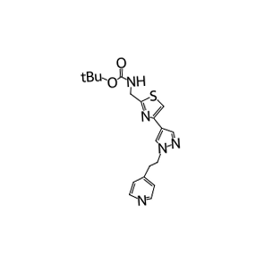 CC(C)(C)OC(=O)NCc1nc(-c2cnn(CCc3ccncc3)c2)cs1